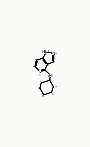 c1cc2[nH]ncc2c(NC2CCCCC2)n1